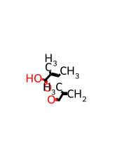 C/C=C(\C)C(=O)O.C=C(C)C=O